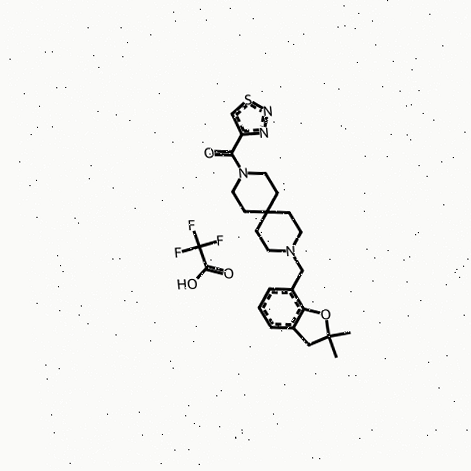 CC1(C)Cc2cccc(CN3CCC4(CC3)CCN(C(=O)c3csnn3)CC4)c2O1.O=C(O)C(F)(F)F